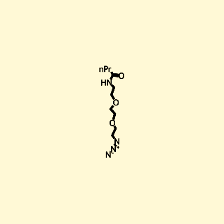 CCCC(=O)NCCOCCOCCN=[N+]=[N-]